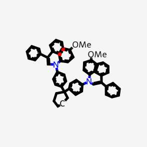 COc1ccc(N(C=C(c2ccccc2)c2ccccc2)c2ccc(C3(c4ccc(N(C=C(c5ccccc5)c5ccccc5)c5ccc(OC)cc5)cc4)CCCCC3)cc2)cc1